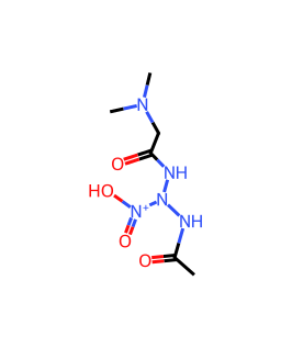 CC(=O)NN(NC(=O)CN(C)C)[N+](=O)O